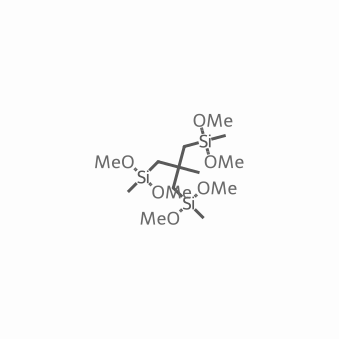 CO[Si](C)(CC(C)(C[Si](C)(OC)OC)C[Si](C)(OC)OC)OC